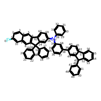 Fc1ccc2cc3c(cc2c1)C(c1ccccc1)(c1ccccc1)c1cc(N(c2ccccc2)c2cccc(-c4ccc5c(c4)C(c4ccccc4)c4ccccc4-5)c2)ccc1-3